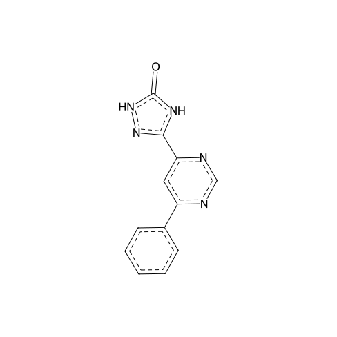 O=c1[nH]nc(-c2cc(-c3ccccc3)ncn2)[nH]1